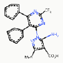 CSc1nn(-c2nc(C(F)(F)F)nc(-c3ccccc3)c2-c2ccccc2)c(N)c1C(=O)O